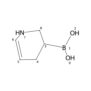 OB(O)C1CC=CNC1